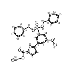 CCOc1cc(-c2ccc(C(=O)OC(C)(C)C)o2)cc(P(=O)(OCc2ccccc2)OCc2ccccc2)c1